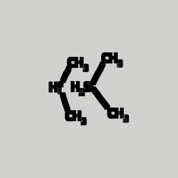 C[SiH2]C.[CH3][Hf][CH3]